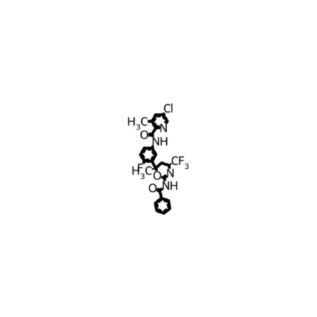 Cc1cc(Cl)cnc1C(=O)Nc1ccc(F)c([C@]2(C)C[C@@H](C(F)(F)F)N=C(NC(=O)c3ccccc3)O2)c1